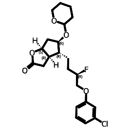 O=C1C[C@@H]2[C@@H](CC[C@@H](F)COc3cccc(Cl)c3)[C@H](OC3CCCCO3)C[C@@H]2O1